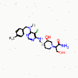 CCN(Cc1ccc(C(F)(F)F)cc1)c1ncnc(NC[C@H]2CCN(C(CO)C(N)=O)C[C@@H]2O)c1F